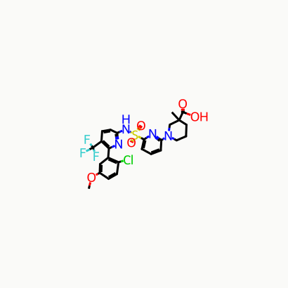 COc1ccc(Cl)c(-c2nc(NS(=O)(=O)c3cccc(N4CCCC(C)(C(=O)O)C4)n3)ccc2C(F)(F)F)c1